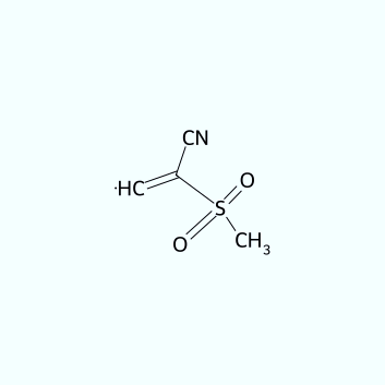 [CH]=C(C#N)S(C)(=O)=O